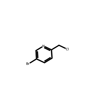 ClCc1ccc(Br)cn1